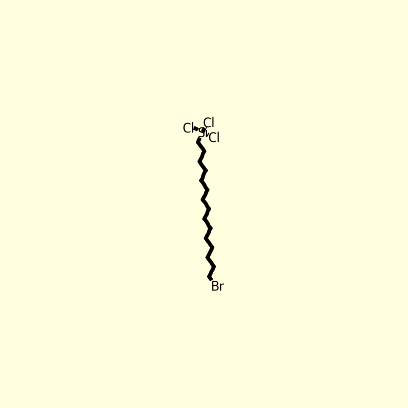 Cl[Si](Cl)(Cl)CCCCCCCCCCCCCCCBr